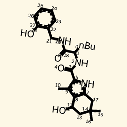 CCCCC(NC(=O)c1[nH]c2c(c1C)C(O)CC(C)(C)C2)C(=O)NCc1ccccc1O